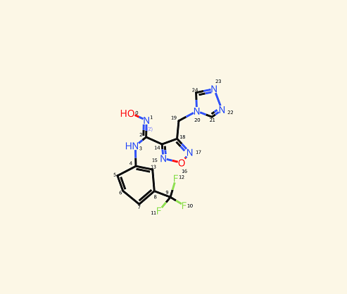 O/N=C(\Nc1cccc(C(F)(F)F)c1)c1nonc1Cn1cnnc1